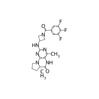 Cc1nc(NC2CN(C(=O)c3cc(F)c(F)c(F)c3)C2)nc2c1NC(=O)[C@@]1(C)CCCN21